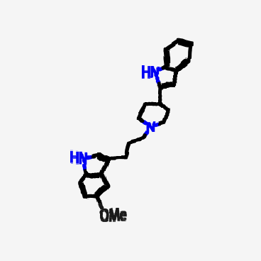 COc1ccc2[nH]cc(CCCN3CCC(c4cc5ccccc5[nH]4)CC3)c2c1